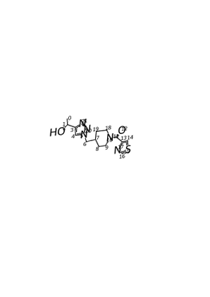 CC(O)c1cn(CC2CCN(C(=O)c3cscn3)CC2)nn1